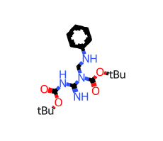 CC(C)(C)OC(=O)NC(=N)N(CNc1ccccc1)C(=O)OC(C)(C)C